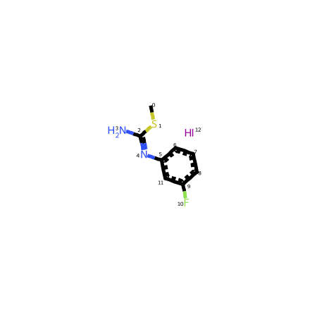 CSC(N)=Nc1cccc(F)c1.I